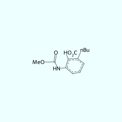 CCCCc1cccc(NC(=O)OC)c1C(=O)O